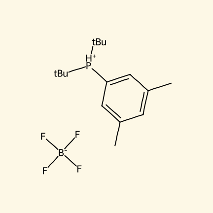 Cc1cc(C)cc([PH+](C(C)(C)C)C(C)(C)C)c1.F[B-](F)(F)F